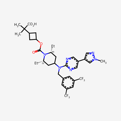 CC[C@@H]1CC(N(Cc2cc(C(F)(F)F)cc(C(F)(F)F)c2)c2ncc(-c3cnn(C)c3)cn2)C[C@H](CC)N1C(=O)OC1CC(C(C)(C)C(=O)O)C1